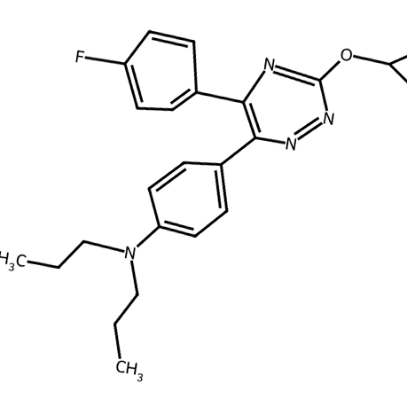 CCCN(CCC)c1ccc(-c2nnc(OC3CC3)nc2-c2ccc(F)cc2)cc1